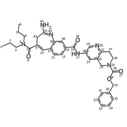 CCCN(CCC)C(=O)C1=Cc2ccc(C(=O)Nc3cnc4c(c3)CN(C(=O)OCc3ccccc3)CC4)cc2N=C(N)C1